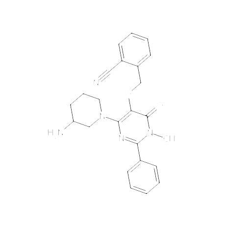 Cn1c(-c2ccccc2)nc(N2CCCC(N)C2)c(OCc2ccccc2C#N)c1=O